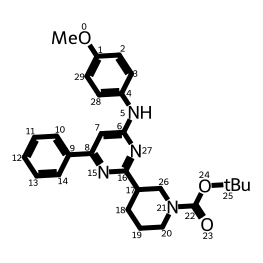 COc1ccc(Nc2cc(-c3ccccc3)nc(C3CCCN(C(=O)OC(C)(C)C)C3)n2)cc1